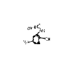 N#Cc1ccc(N)cc1NC=O